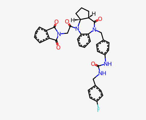 O=C(NCc1ccc(F)cc1)Nc1ccc(CN2C(=O)[C@H]3CCC[C@H]3N(C(=O)CN3C(=O)c4ccccc4C3=O)c3ccccc32)cc1